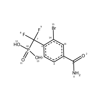 NC(=O)c1ccc(C(F)(F)P(=O)(O)O)c(Br)c1